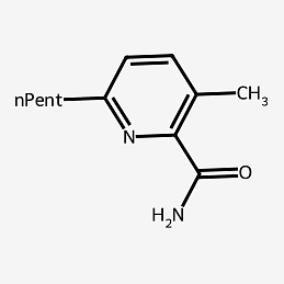 CCCCCc1ccc(C)c(C(N)=O)n1